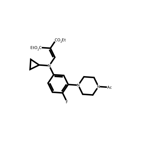 CCOC(=O)C(=CN(c1ccc(F)c(N2CCN(C(C)=O)CC2)c1)C1CC1)C(=O)OCC